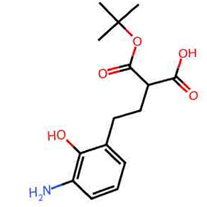 CC(C)(C)OC(=O)C(CCc1cccc(N)c1O)C(=O)O